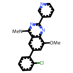 CNc1nc(-c2cccnc2)nc2c(OC)cc(-c3ccccc3Cl)cc12